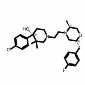 C[C@H]1CO[C@H](Cc2ccc(F)cc2)CN1CCN1CC[C@](O)(c2ccc(Cl)cc2)C(C)(C)C1